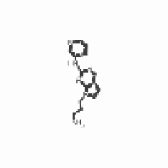 NCCCn1ccc2cnc(Nc3cccnc3)nc21